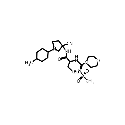 CC1CCC(N2CCC(C#N)(NC(=O)C(CC(C)(C)C)NC(=NS(C)(=O)=O)N3CCOCC3)C2)CC1